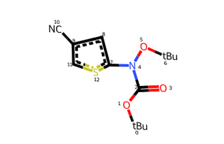 CC(C)(C)OC(=O)N(OC(C)(C)C)c1cc(C#N)cs1